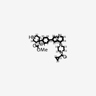 COC(=O)NC1(c2ccc(-c3cc4c(N5CCN(C(=O)C6CC6)CC5)ccnn4c3)cc2)CCNCC1